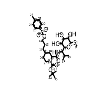 CSC1OC(C(NC(=O)C2CC(CCCOS(=O)(=O)c3ccc(C)cc3)CCN2C(=O)OC(C)(C)C)C(C)C)C(O)C(O)C1O